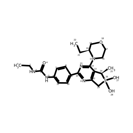 CCNC(=O)Nc1ccc(-c2nc3c(c(N4CCOC[C@@H]4CC)n2)[C@@H](C)S(O)(O)C3)cc1